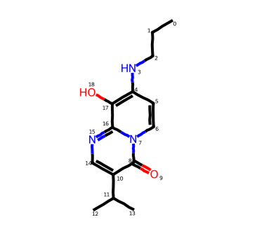 CCCNc1ccn2c(=O)c(C(C)C)cnc2c1O